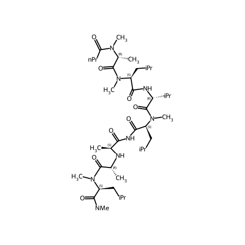 CCCC(=O)N(C)[C@H](C)C(=O)N(C)[C@@H](CC(C)C)C(=O)N[C@@H](C(=O)N(C)[C@@H](CC(C)C)C(=O)NC(=O)[C@H](C)N[C@H](C)C(=O)N(C)[C@@H](CC(C)C)C(=O)NC)C(C)C